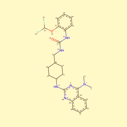 CN(C)c1nc(NC2CCC(CNC(=O)Nc3ccccc3OC(F)F)CC2)nc2ccccc12